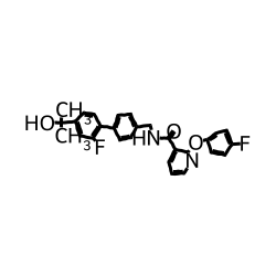 CC(C)(O)c1ccc(-c2ccc(CNC(=O)c3cccnc3Oc3ccc(F)cc3)cc2)c(F)c1